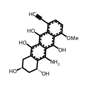 C#Cc1ccc(OC)c2c(O)c3c(N)c4c(c(O)c3c(O)c12)C[C@H](O)C[C@H]4O